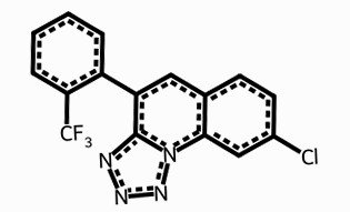 FC(F)(F)c1ccccc1-c1cc2ccc(Cl)cc2n2nnnc12